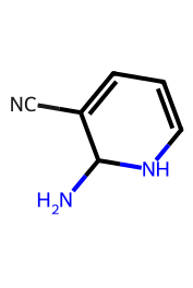 N#CC1=CC=CNC1N